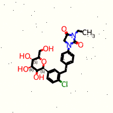 CCN1C(=O)CN(c2ccc(Cc3cc([C@@H]4OC(CO)[C@@H](O)[C@H](O)C4O)ccc3Cl)cc2)C1=O